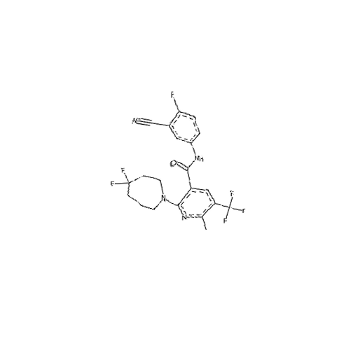 Cc1nc(N2CCCC(F)(F)CC2)c(C(=O)Nc2ccc(F)c(C#N)c2)cc1C(F)(F)F